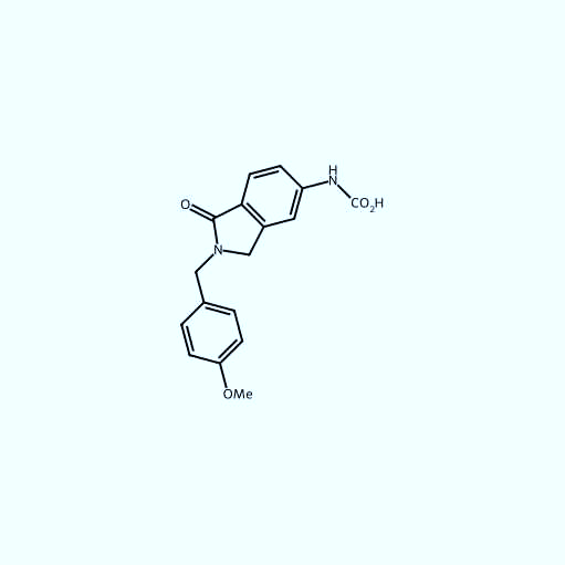 COc1ccc(CN2Cc3cc(NC(=O)O)ccc3C2=O)cc1